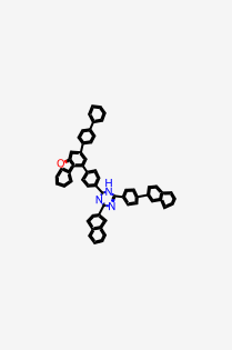 c1ccc(-c2ccc(-c3cc(-c4ccc(C5N=C(c6ccc7ccccc7c6)N=C(c6ccc(-c7ccc8ccccc8c7)cc6)N5)cc4)c4c(c3)oc3ccccc34)cc2)cc1